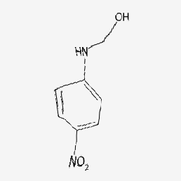 O=[N+]([O-])c1ccc(NCO)cc1